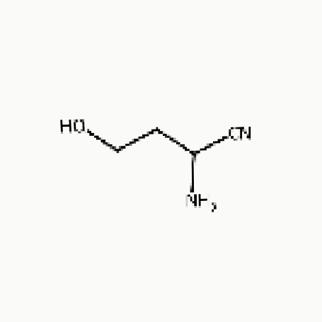 N#CC(N)CCO